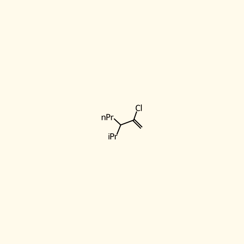 C=C(Cl)C(CCC)C(C)C